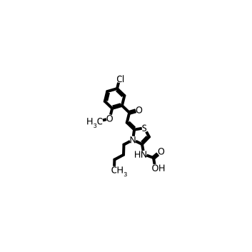 CCCCN1C(NC(=O)O)=CS/C1=C\C(=O)c1cc(Cl)ccc1OC